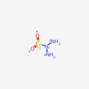 NN(N)[SH](=O)=O